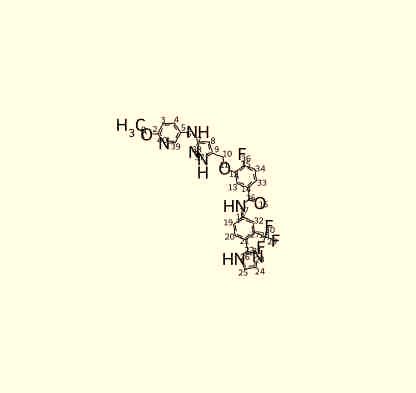 COc1ccc(Nc2cc(COc3cc(C(=O)Nc4ccc(-c5ncc[nH]5)c(C(F)(F)F)c4)ccc3F)[nH]n2)cn1